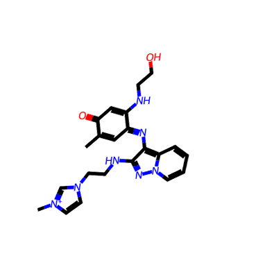 CC1=C/C(=N\c2c(NCCn3cc[n+](C)c3)nn3ccccc23)C(NCCO)=CC1=O